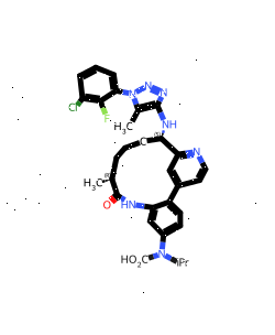 Cc1c(N[C@H]2CCC[C@@H](C)C(=O)Nc3cc(N(C(=O)O)C(C)C)ccc3-c3ccnc2c3)nnn1-c1cccc(Cl)c1F